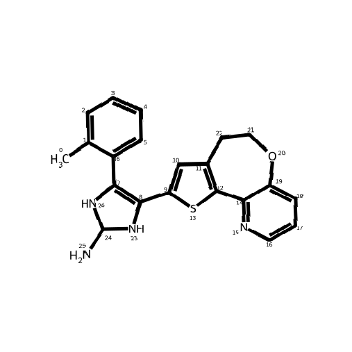 Cc1ccccc1C1=C(c2cc3c(s2)-c2ncccc2OCC3)NC(N)N1